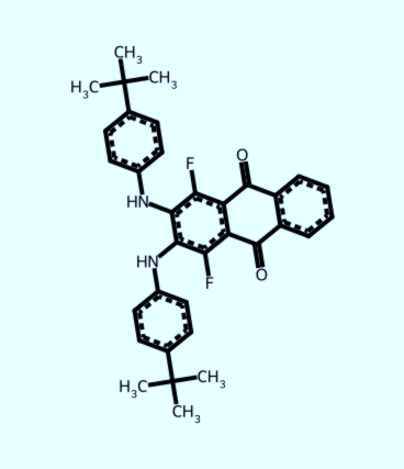 CC(C)(C)c1ccc(Nc2c(F)c3c(c(F)c2Nc2ccc(C(C)(C)C)cc2)C(=O)c2ccccc2C3=O)cc1